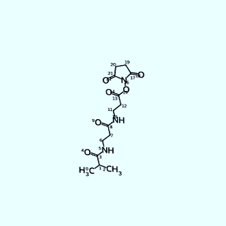 CC(C)C(=O)NCCC(=O)NCCC(=O)ON1C(=O)CCC1=O